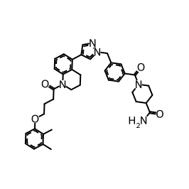 Cc1cccc(OCCCC(=O)N2CCCc3c(-c4cnn(Cc5cccc(C(=O)N6CCC(C(N)=O)CC6)c5)c4)cccc32)c1C